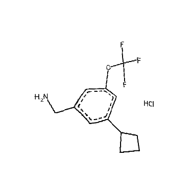 Cl.NCc1cc(OC(F)(F)F)cc(C2CCC2)c1